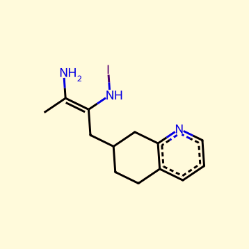 C/C(N)=C(\CC1CCc2cccnc2C1)NI